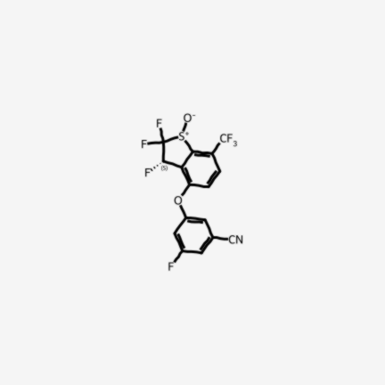 N#Cc1cc(F)cc(Oc2ccc(C(F)(F)F)c3c2[C@H](F)C(F)(F)[S+]3[O-])c1